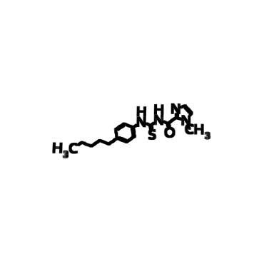 CCCCCc1ccc(NC(=S)NC(=O)c2nccn2C)cc1